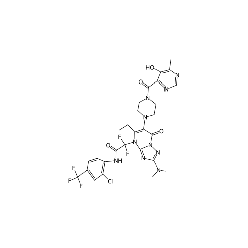 CCc1c(N2CCN(C(=O)c3ncnc(C)c3O)CC2)c(=O)n2nc(N(C)C)nc2n1C(F)(F)C(=O)Nc1ccc(C(F)(F)F)cc1Cl